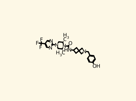 C[C@@H]1CN(c2ncc(C(F)(F)F)cn2)C[C@H](C)N1C(=O)NC1CC2(C1)CN(Cc1ccc(O)cc1)C2